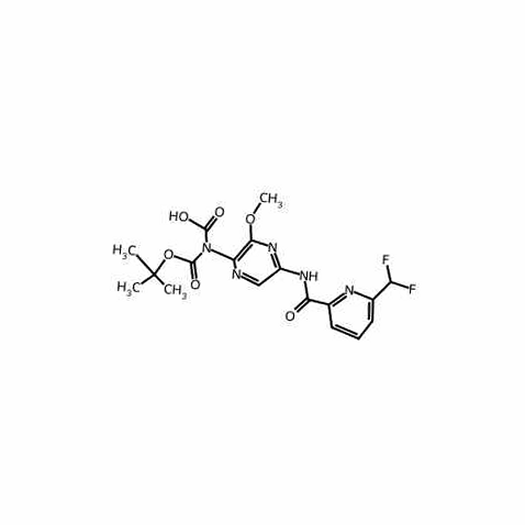 COc1nc(NC(=O)c2cccc(C(F)F)n2)cnc1N(C(=O)O)C(=O)OC(C)(C)C